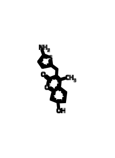 Cc1c(Cc2ccc(N)s2)c(=O)oc2cc(O)ccc12